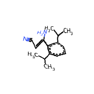 CC(C)c1cccc(C(C)C)c1/C(N)=C/C#N